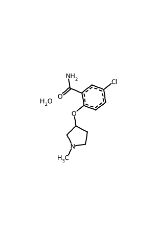 CN1CCC(Oc2ccc(Cl)cc2C(N)=O)C1.O